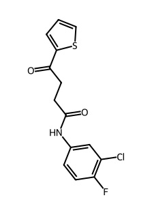 O=C(CCC(=O)c1cccs1)Nc1ccc(F)c(Cl)c1